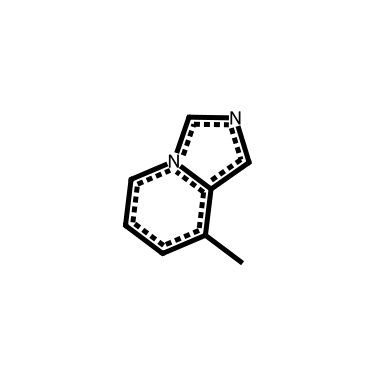 Cc1cccn2cncc12